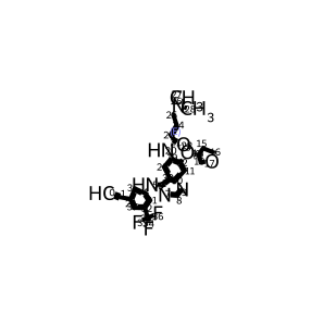 C#Cc1cc(Nc2ncnc3cc(O[C@H]4CCOC4)c(NC(=O)/C=C/CN(C)C)cc23)cc(C(F)(F)F)c1